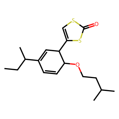 CCC(C)C1=CC(c2csc(=O)s2)C(OCCC(C)C)C=C1